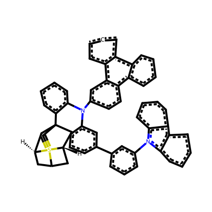 C1#S23C4C[C@H]2CC1(c1ccccc1N(c1cccc(-c2cccc(-n5c6ccccc6c6ccccc65)c2)c1)c1ccc2c5ccccc5c5ccccc5c2c1)C[C@@H]3C4